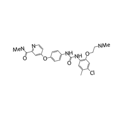 CNCCOc1cc(Cl)c(C)cc1NC(=O)Nc1ccc(Oc2ccnc(C(=O)NC)c2)cc1